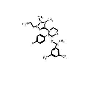 C[C@@H](O[C@H]1OCCN(C2=NN(CCN)N(C)N2C)[C@H]1c1ccc(F)cc1)c1cc(C(F)(F)F)cc(C(F)(F)F)c1